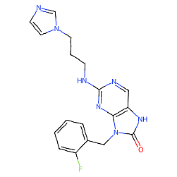 O=c1[nH]c2cnc(NCCCn3ccnc3)nc2n1Cc1ccccc1F